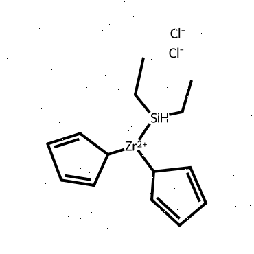 CC[SiH](CC)[Zr+2]([CH]1C=CC=C1)[CH]1C=CC=C1.[Cl-].[Cl-]